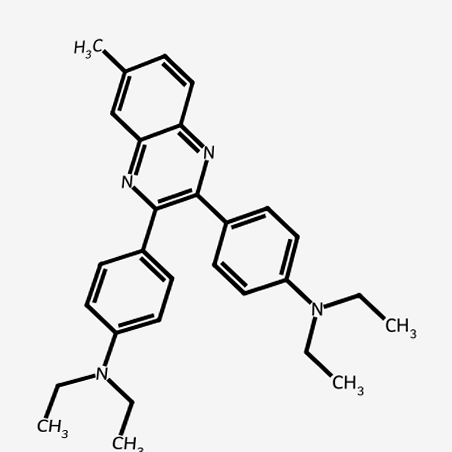 CCN(CC)c1ccc(-c2nc3ccc(C)cc3nc2-c2ccc(N(CC)CC)cc2)cc1